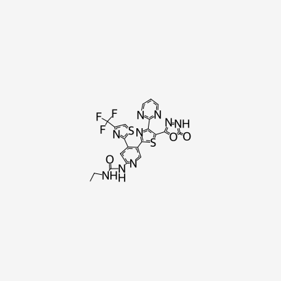 CCNC(=O)Nc1cc(-c2nc(C(F)(F)F)cs2)c(-c2nc(-c3ncccn3)c(-c3n[nH]c(=O)o3)s2)cn1